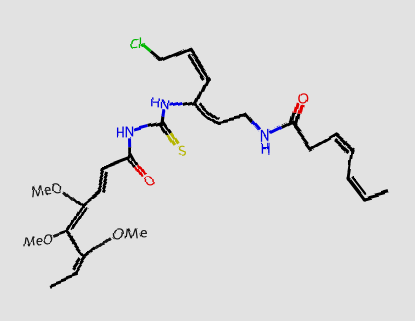 C/C=C\C=C/CC(=O)NC/C=C(\C=C/CCl)NC(=S)NC(=O)/C=C/C(OC)=C(OC)\C(=C/C)OC